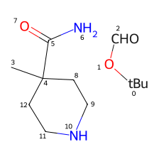 CC(C)(C)OC=O.CC1(C(N)=O)CCNCC1